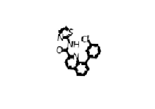 O=C(Nc1nccs1)c1ccc2cccc(-c3cccc(Cl)c3)c2n1